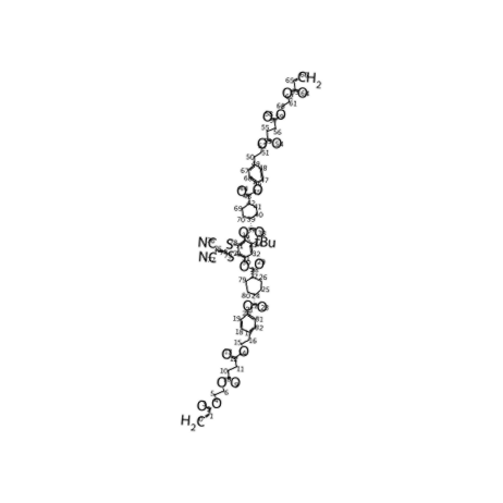 C=CC(=O)OCCOC(=O)CCC(=O)OCCc1ccc(OC(=O)[C@H]2CC[C@H](C(=O)Oc3cc(C(C)(C)C)c(OC(=O)[C@H]4CC[C@H](C(=O)Oc5ccc(CCOC(=O)CCC(=O)OCCOC(=O)C=C)cc5)CC4)c4c3SC(=C(C#N)C#N)S4)CC2)cc1